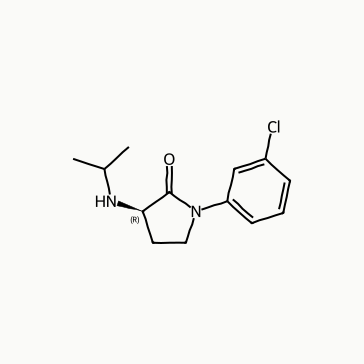 CC(C)N[C@@H]1CCN(c2cccc(Cl)c2)C1=O